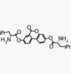 CC(C)C[C@@H](N)C(=O)Oc1ccc2c(c1)oc(=O)c1cc(OC(=O)[C@H](N)CC(C)C)ccc12